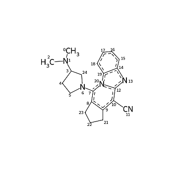 CN(C)C1CCN(c2c3c(c(C#N)c4nc5ccccc5n24)CCC3)C1